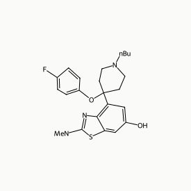 CCCCN1CCC(Oc2ccc(F)cc2)(c2cc(O)cc3sc(NC)nc23)CC1